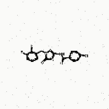 O=C(Nc1nc(=O)n(Cc2cccc(F)c2F)s1)c1ccc(Cl)cc1